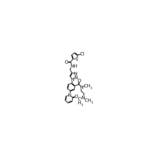 CN(C)CCN(C)C(=O)c1cc(-n2ccccc2=O)ccc1-n1cc(CNC(=O)c2ccc(Cl)s2)nn1